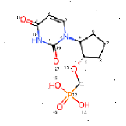 O=c1ccn([C@H]2CCC[C@@H]2OCP(=O)(O)O)c(=O)[nH]1